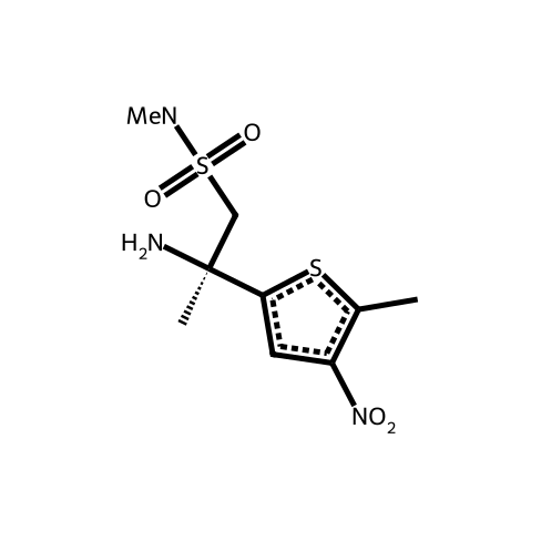 CNS(=O)(=O)C[C@](C)(N)c1cc([N+](=O)[O-])c(C)s1